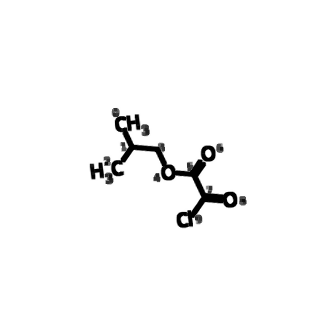 CC(C)COC(=O)C(=O)Cl